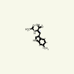 CC(=O)N/C(=C\c1c[nH]c2cc(C)ccc12)C(=O)O